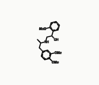 COc1ccc(CC(C)NCC(O)c2ccccc2OC)cc1OC